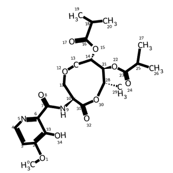 COc1ccnc(C(=O)N[C@H]2COC[C@H](OC(=O)C(C)C)[C@@H](OC(=O)C(C)C)[C@H](C)OC2=O)c1O